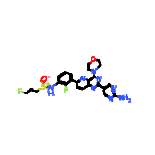 Nc1ncc(-c2nc(N3CCOCC3)c3nc(-c4cccc(N[S+]([O-])CCCF)c4F)ccc3n2)cn1